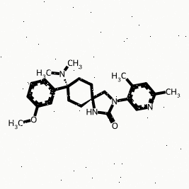 COc1cccc([C@]2(N(C)C)CC[C@@]3(CC2)CN(c2cnc(C)cc2C)C(=O)N3)c1